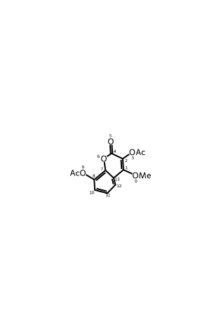 COc1c(OC(C)=O)c(=O)oc2c(OC(C)=O)cccc12